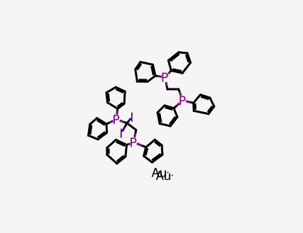 IC(I)(CP(c1ccccc1)c1ccccc1)P(c1ccccc1)c1ccccc1.[Au].[Au].c1ccc(P(CCP(c2ccccc2)c2ccccc2)c2ccccc2)cc1